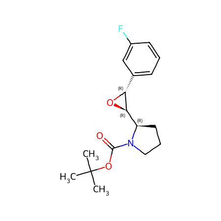 CC(C)(C)OC(=O)N1CCC[C@@H]1[C@H]1O[C@@H]1c1cccc(F)c1